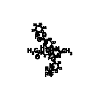 CC(=O)NCC(O)(COc1cccc(C(F)(F)F)n1)c1cnc(C)nc1C1CCN(C(=O)Oc2ccccc2F)CC1